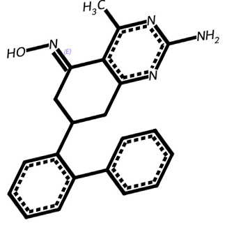 Cc1nc(N)nc2c1/C(=N/O)CC(c1ccccc1-c1ccccc1)C2